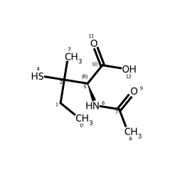 CCC(C)(S)[C@H](NC(C)=O)C(=O)O